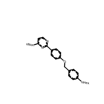 CCCCCCCCCc1ccnc(-c2ccc(OCc3ccc(CCCCCC)cc3)cc2)n1